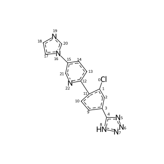 Clc1cc(-c2nnn[nH]2)ccc1-c1ccc(-n2ccnc2)cn1